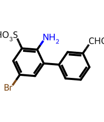 Nc1c(-c2cccc(C=O)c2)cc(Br)cc1S(=O)(=O)O